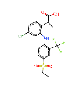 CCS(=O)(=O)c1ccc(Nc2cc(Cl)ccc2C(C)C(=O)O)c(C(F)(F)F)c1